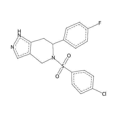 O=S(=O)(c1ccc(Cl)cc1)N1Cc2cn[nH]c2CC1c1ccc(F)cc1